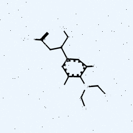 COCC(CC(=O)OC)c1cc(N)c(N(CC(C)C)CC(C)C)c(F)c1